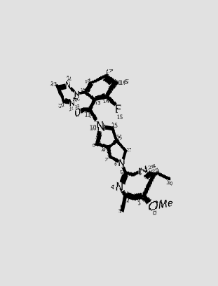 COc1c(C)nc(N2CC3CN(C(=O)c4c(F)cccc4-n4nccn4)CC3C2)nc1C